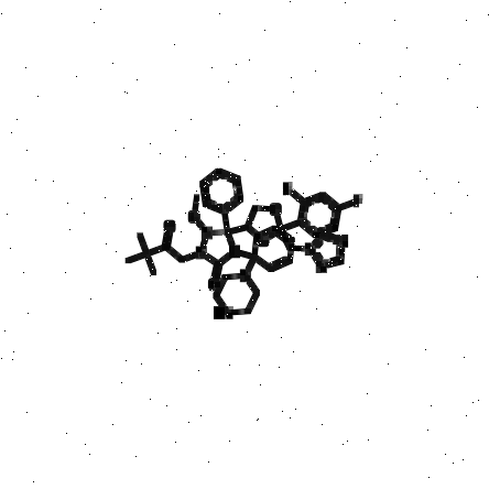 CON1N(CC(=O)C(C)(C)C)C(=O)N(C2(N3CCNCC3)C=CC=CC2)C1(c1ccccc1)C1COC(Cn2cncn2)(c2ccc(F)cc2F)O1